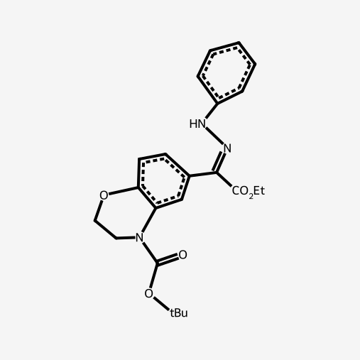 CCOC(=O)/C(=N/Nc1ccccc1)c1ccc2c(c1)N(C(=O)OC(C)(C)C)CCO2